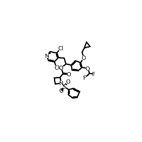 O=C(OC(Cc1c(Cl)cncc1Cl)c1ccc(OC(F)F)c(OCC2CC2)c1)C1CCN1S(=O)(=O)c1ccccc1